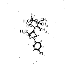 C=C1C(c2sc(-c3ccc(Cl)cc3)nc2C)C(=O)C(C)(C)OC1(C)C